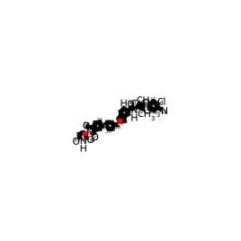 CC1(C)[C@H](NC(=O)c2ccc3c(c2)CN(CC2CCN(c4ccc5c(c4)C(=O)N(C4CCC(=O)NC4=O)C5=O)CC2)C3)C(C)(C)[C@H]1Oc1ccc(C#N)c(Cl)c1